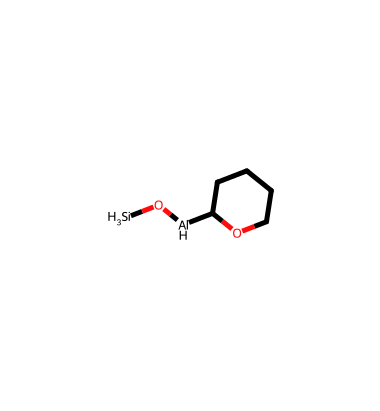 [SiH3][O][AlH][CH]1CCCCO1